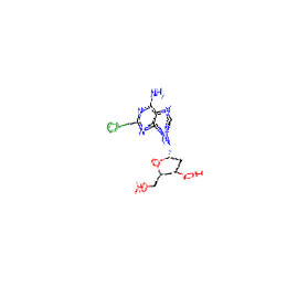 Nc1nc(Cl)nc2c1ncn2[C@@H]1CC(O)[C@@H](CO)O1